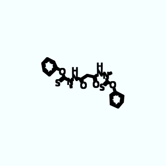 CN(NC(=O)CC(=O)NN(C)C(=S)Oc1ccccc1)C(=S)Oc1ccccc1